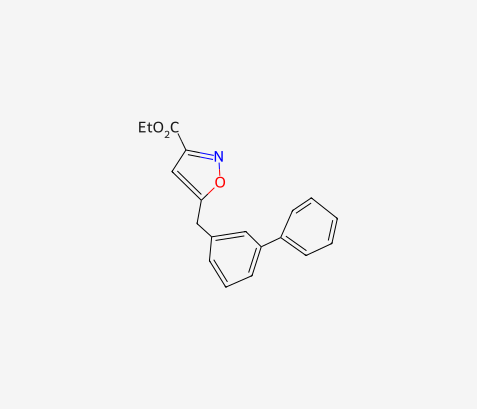 CCOC(=O)c1cc(Cc2cccc(-c3ccccc3)c2)on1